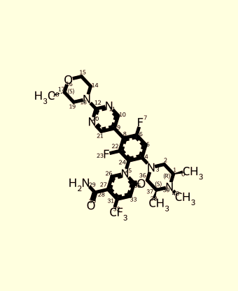 C[C@@H]1CN(c2cc(F)c(-c3cnc(N4CCO[C@@H](C)C4)nc3)c(F)c2-n2cc(C(N)=O)c(C(F)(F)F)cc2=O)C[C@H](C)N1C